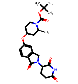 C[C@H]1C[C@@H](Oc2ccc3c(c2)CN(C2CCC(=O)NC2=O)C3=O)CCN1C(=O)OC(C)(C)C